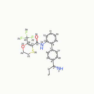 CCC(=N)c1ccc(-c2ccccc2NC(=O)C2=C(C(F)(F)F)OCCS2)cc1